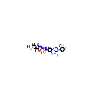 CCC(C)(C)C(=O)N(C)CCNC(=O)c1ccc(N2CCN(c3ccccc3C)CC2)c(N)c1